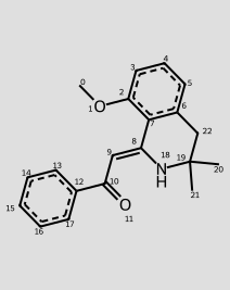 COc1cccc2c1/C(=C/C(=O)c1ccccc1)NC(C)(C)C2